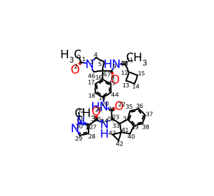 CC(=O)N1CCC(C(=O)N[C@@H](C)C2CCC2)(c2ccc(NC(=O)[C@@H](NC(=O)c3ccnn3C)C3c4ccccc4CC34CC4)cc2)C1